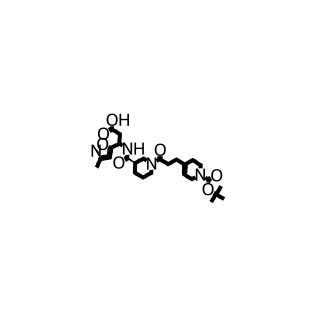 Cc1cc(C(CC(=O)O)NC(=O)[C@@H]2CCCN(C(=O)CCC3=CCN(C(=O)OC(C)(C)C)CC3)C2)on1